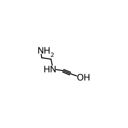 NCCNC#CO